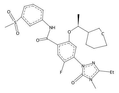 CCc1nn(-c2cc(O[C@@H](C)C3CCCCC3)c(C(=O)Nc3cccc(S(C)(=O)=O)c3)cc2F)c(=O)n1C